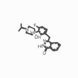 CC(C)N1CC[PH](O)(c2cc(Cc3n[nH]c(=O)c4ccccc34)ccc2F)CC1